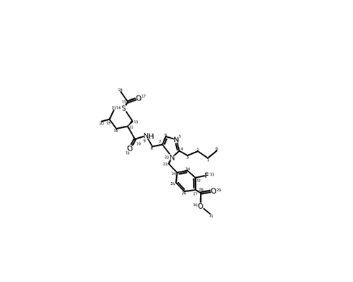 CCCCc1ncc(CNC(=O)[C@H](CSC(C)=O)CC(C)C)n1Cc1ccc(C(=O)OC)c(F)c1